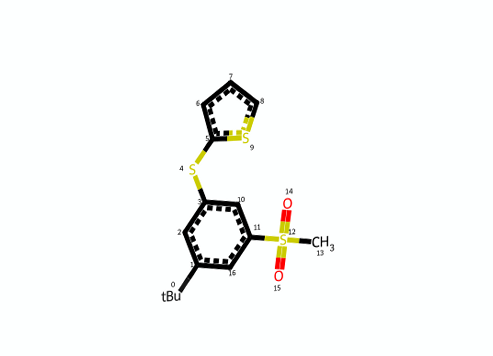 CC(C)(C)c1cc(Sc2cccs2)cc(S(C)(=O)=O)c1